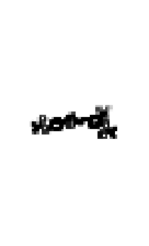 C=C(C)C(=O)Oc1ccc(-c2ccc(/C=C/c3ccc(OC(=O)C(=C)C)c(C(F)(F)F)c3)o2)cc1